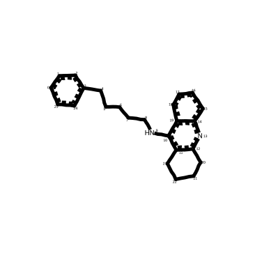 c1ccc(CCCCCNc2c3c(nc4ccccc24)CCCC3)cc1